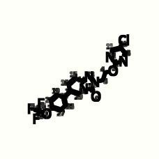 O=c1n(CCOc2ncc(Cl)cn2)nc2ccc(-c3ccc(OC(F)(F)F)cc3)cn12